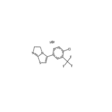 Br.FC(F)(F)c1cc(C2=CSC3=NCCN23)ccc1Cl